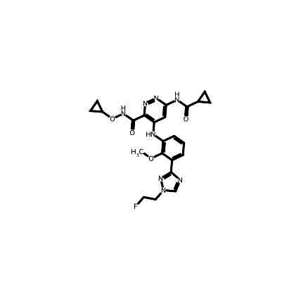 COc1c(Nc2cc(NC(=O)C3CC3)nnc2C(=O)NOC2CC2)cccc1-c1ncn(CCF)n1